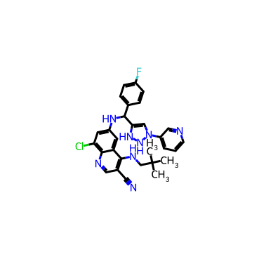 CC(C)(C)CNc1c(C#N)cnc2c(Cl)cc(NC(C3=CN(c4cccnc4)NN3)c3ccc(F)cc3)cc12